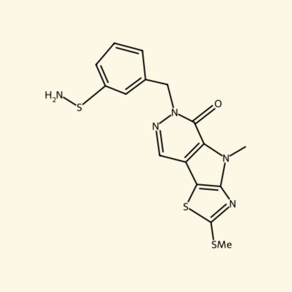 CSc1nc2c(s1)c1cnn(Cc3cccc(SN)c3)c(=O)c1n2C